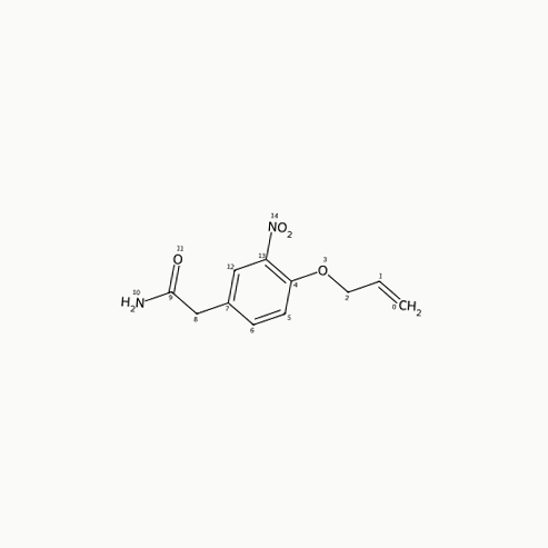 C=CCOc1ccc(CC(N)=O)cc1[N+](=O)[O-]